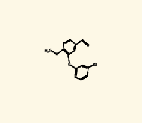 COc1ccc(C=O)cc1Oc1cccc(Cl)c1